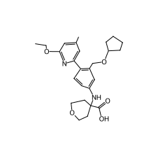 CCOc1cc(C)cc(-c2ccc(NC3(C(=O)O)CCOCC3)cc2COC2CCCC2)n1